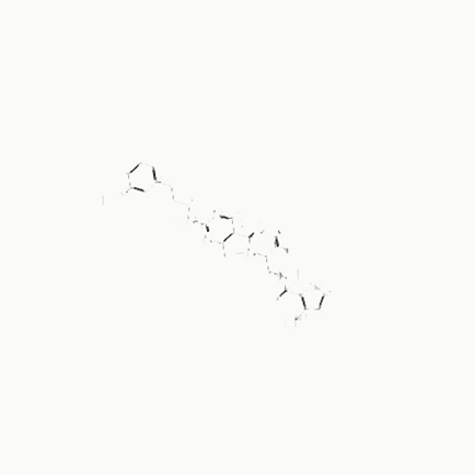 Cc1nc(NCCCc2cccc(O)c2)nc(C)c1C(=O)NC(CNC(=O)c1sccc1Cl)C(=O)O